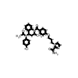 CC(=O)N(c1ccc(Cl)cc1)C1CC(C)N(C(=O)c2ccc(OCCCn3ccnc3C(N)=O)cc2)c2ccccc21